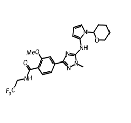 COc1cc(-c2nc(Nc3cccn3C3CCCCO3)n(C)n2)ccc1C(=O)NCC(F)(F)F